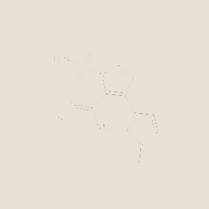 CN/C(=N\N)c1c(-c2cnn(C)c2)ccn1S(N)(=O)=O